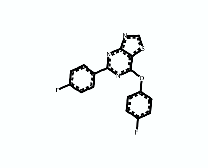 Fc1ccc(Oc2nc(-c3ccc(F)cc3)nc3ncsc23)cc1